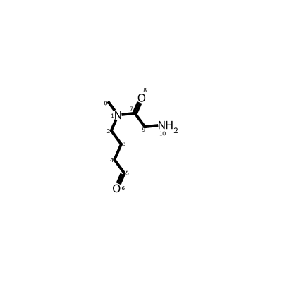 CN(CCCC=O)C(=O)CN